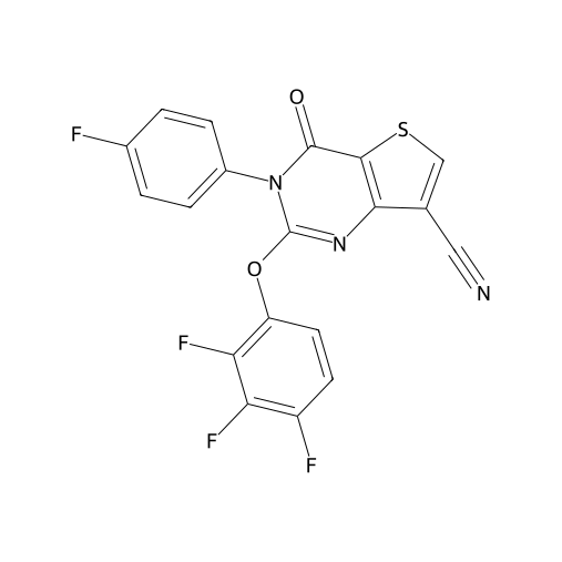 N#Cc1csc2c(=O)n(-c3ccc(F)cc3)c(Oc3ccc(F)c(F)c3F)nc12